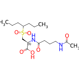 CCCC(CCC)S(=O)(=O)C[C@@H](NC(=O)CCCNC(C)=O)C(=O)O